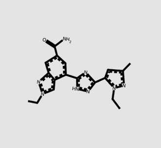 CCn1cc2c(-c3nc(-c4cc(C)nn4CC)n[nH]3)cc(C(N)=O)cc2n1